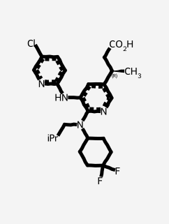 CC(C)CN(c1ncc([C@H](C)CC(=O)O)cc1Nc1ccc(Cl)cn1)C1CCC(F)(F)CC1